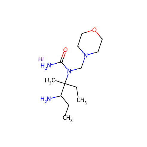 CCC(N)C(C)(CC)N(CN1CCOCC1)C(N)=O.I